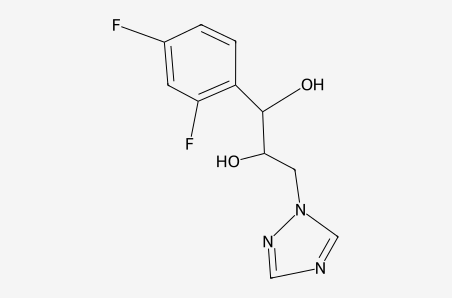 OC(Cn1cncn1)C(O)c1ccc(F)cc1F